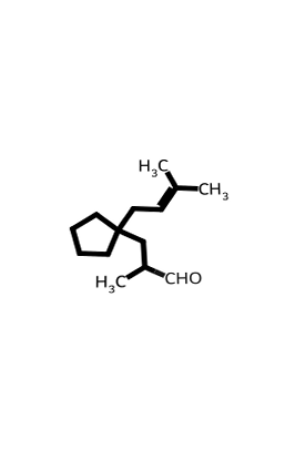 CC(C)=CCC1(CC(C)C=O)CCCC1